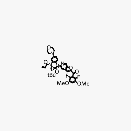 C=CC(=O)Nc1cc(N2CCOCC2)ccc1N(C(=O)OC(C)(C)C)c1cc2cc(C(=O)c3c(F)c(OC)cc(OC)c3F)oc2cn1